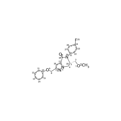 COC[C@@H]1Cn2nc(COc3ccccc3)cc2C(=O)N1c1ccc(F)cc1